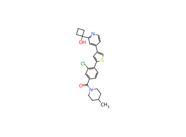 CC1CCN(C(=O)c2ccc(-c3cc(-c4ccnc(C5(O)CCC5)c4)cs3)c(Cl)c2)CC1